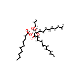 CCCCCCCCCC(=O)[O][Ti](=[O])([O]CCC)([C](=O)CCCCCCCCC)[C](=O)CCCCCCCCC